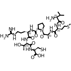 CSCC[C@H](NC(=O)[C@@H](N)C(C)C)C(=O)N[C@@H](C)C(=O)N1CCC[C@H]1C(=O)N[C@@H](CCCNC(=N)N)C(=O)N[C@H](C(=O)N[C@@H](CS)C(=O)O)[C@@H](C)O